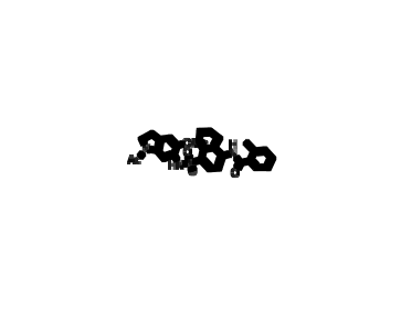 COc1cc2c(cc1NS(=O)(=O)c1ccc(NC(=O)c3ccccc3C)c3ccccc13)N(C(C)=O)CC2